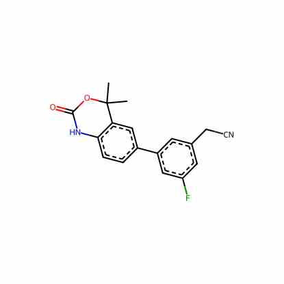 CC1(C)OC(=O)Nc2ccc(-c3cc(F)cc(CC#N)c3)cc21